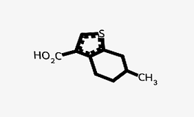 CC1CCc2c(C(=O)O)csc2C1